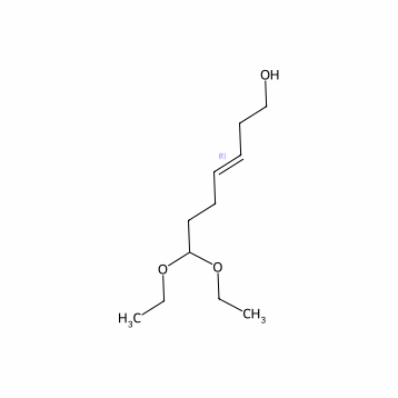 CCOC(CC/C=C/CCO)OCC